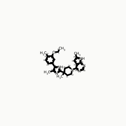 CCOc1cc(-c2[nH]c(C3(C)CCN(c4ncnc5[nH]c(C)cc45)CC3)nc2C)ccc1C